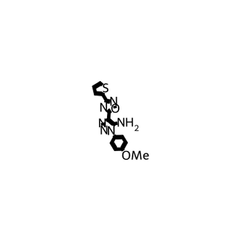 COc1ccc(-n2nnc(-c3nc(-c4cccs4)no3)c2N)cc1